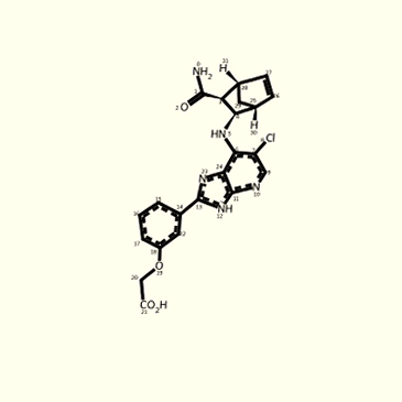 NC(=O)[C@@H]1[C@H](Nc2c(Cl)cnc3[nH]c(-c4cccc(OCC(=O)O)c4)nc23)[C@H]2C=C[C@@H]1C2